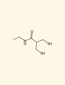 CCNC(=O)C(CS)CS